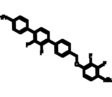 CCCCc1ccc(OCc2ccc(-c3ccc(-c4ccc(CCC)cc4)c(F)c3F)cc2)c(F)c1F